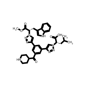 COC(=O)[C@H](Cc1c[nH]c2ccccc12)n1cc(-c2cc(C(=O)C3CCNCC3)cc(-c3cn([C@@H](CC(C)C)C(=O)O)nn3)c2)nn1